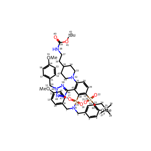 COc1ccc(CN(Cc2ccc(OC)cc2)S(=O)(=O)c2c(S(=O)(=O)CC[Si](C)(C)C)ccc(N3CCC(CCNC(=O)OC(C)(C)C)CC3)c2-c2nnn(Cc3ccc(OC)cc3)n2)cc1